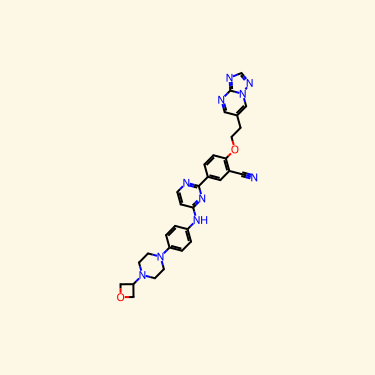 N#Cc1cc(-c2nccc(Nc3ccc(N4CCN(C5COC5)CC4)cc3)n2)ccc1OCCc1cnc2ncnn2c1